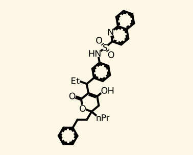 CCCC1(CCc2ccccc2)CC(O)=C(C(CC)c2cccc(NS(=O)(=O)c3ccc4ccccc4n3)c2)C(=O)O1